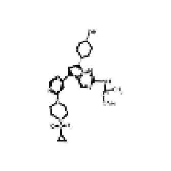 COC[C@H](C)Nc1ncc2c(-c3ccnc(N4CCN(S(=O)(=O)C5CC5)CC4)c3)cc([C@H]3CC[C@H](O)CC3)n2n1